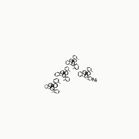 Cc1ccccc1OP(Oc1ccccc1C)Oc1ccccc1C.Cc1ccccc1OP(Oc1ccccc1C)Oc1ccccc1C.Cc1ccccc1OP(Oc1ccccc1C)Oc1ccccc1C.Cc1ccccc1OP(Oc1ccccc1C)Oc1ccccc1C.[Ni]